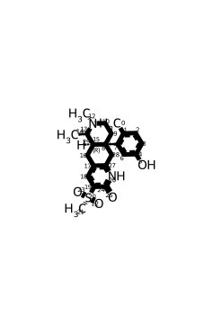 Cc1ccc(O)cc1[C@]12CCN(C)[C@H](C)[C@@H]1Cc1cc(S(C)(=O)=O)c(=O)[nH]c1C2